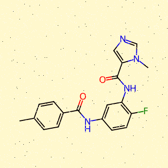 Cc1ccc(C(=O)Nc2ccc(F)c(NC(=O)c3cncn3C)c2)cc1